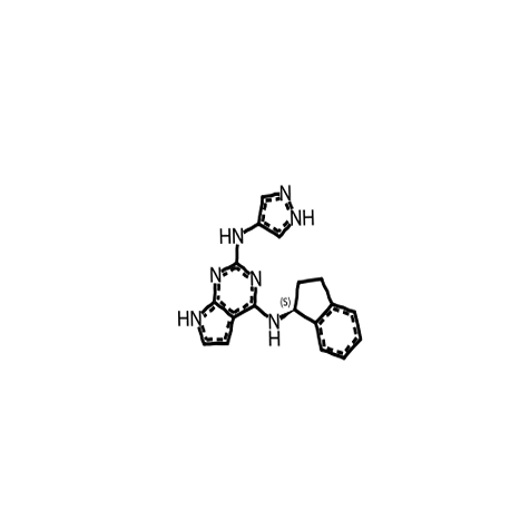 c1ccc2c(c1)CC[C@@H]2Nc1nc(Nc2cn[nH]c2)nc2[nH]ccc12